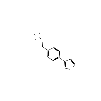 CC(C)(C)[Si](C)(C)OCc1ccc(-c2ccsc2)cc1